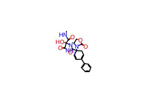 CNC(=O)C(O)(C(N)=O)N(C)C(=O)C1(N2CCOC2=O)C=CC(c2ccccc2)=CC1